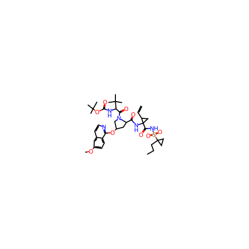 C=CC1CC1(NC(=O)C1CC(Oc2nccc3cc(OC)ccc23)CN1C(=O)C(NC(=O)OC(C)(C)C)C(C)(C)C)C(=O)NS(=O)(=O)C1(CCC)CC1